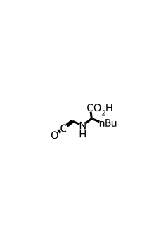 CCCCC(NC=C=O)C(=O)O